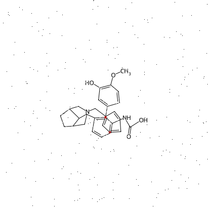 COc1ccc(-c2c(CC3C4CCC3CN(Cc3ccccc3)C4)cccc2NC(=O)O)cc1O